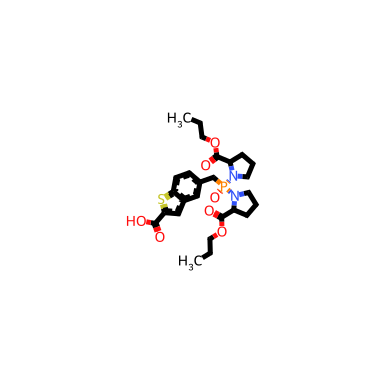 CCCOC(=O)C1CCCN1P(=O)(Cc1ccc2sc(C(=O)O)cc2c1)N1CCCC1C(=O)OCCC